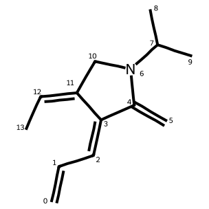 C=C/C=C1/C(=C)N(C(C)C)C/C1=C/C